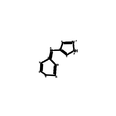 [C]1C=CC(=Nc2cn[nH]c2)C=C1